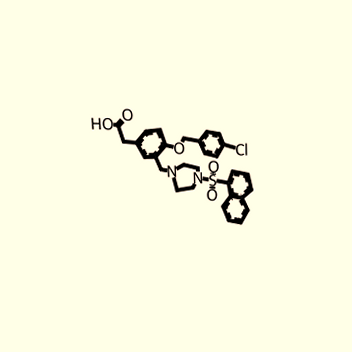 O=C(O)Cc1ccc(OCc2ccc(Cl)cc2)c(CN2CCN(S(=O)(=O)c3cccc4ccccc34)CC2)c1